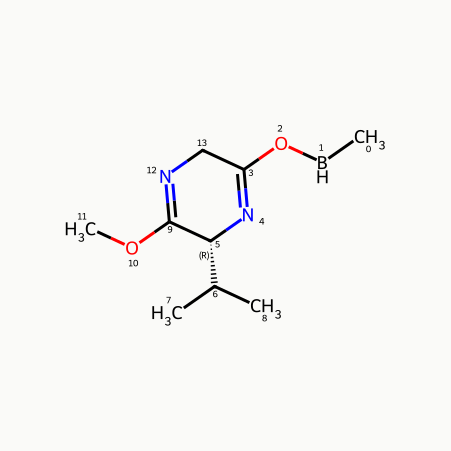 CBOC1=N[C@H](C(C)C)C(OC)=NC1